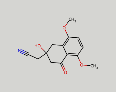 COc1ccc(OC)c2c1CC(O)(CC#N)CC2=O